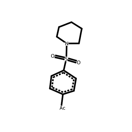 CC(=O)c1ccc(S(=O)(=O)N2CCCCC2)cc1